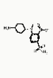 CN(c1ccc(S(N)(=O)=O)cc1[N+](=O)[O-])[C@H]1CC[C@H](N)CC1